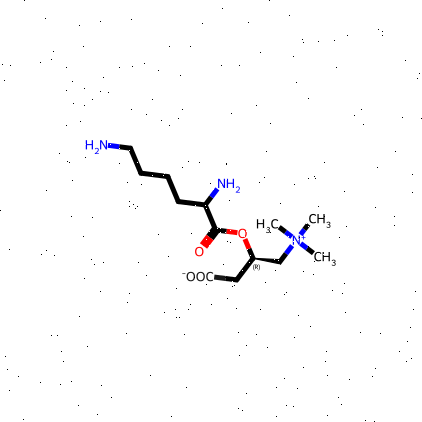 C[N+](C)(C)C[C@@H](CC(=O)[O-])OC(=O)C(N)CCCCN